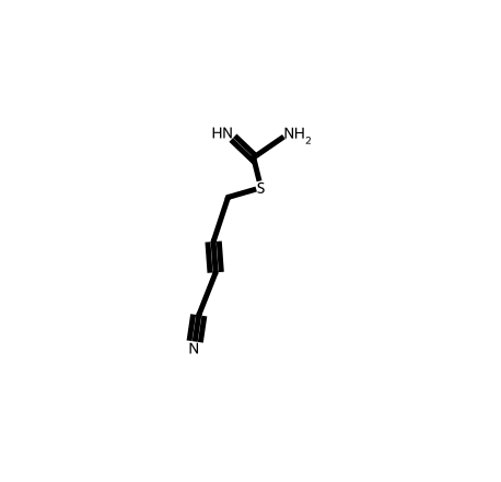 N#CC#CCSC(=N)N